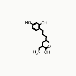 CC(CCCc1ccc(O)cc1O)CC(CN)C(=O)O